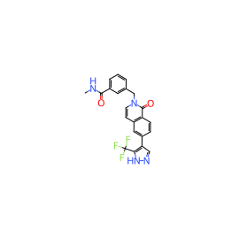 CNC(=O)c1cccc(Cn2ccc3cc(-c4cn[nH]c4C(F)(F)F)ccc3c2=O)c1